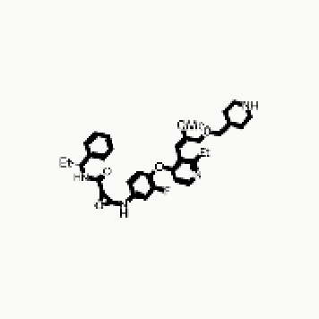 CCc1nccc(Oc2ccc(NC3OC3C(=O)N[C@H](CC)c3ccccc3)cc2F)c1/C=C(\COCC1CCNCC1)OC